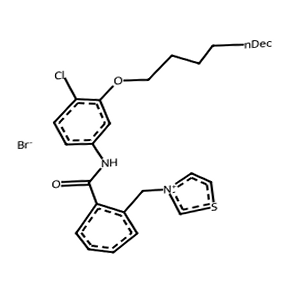 CCCCCCCCCCCCCCOc1cc(NC(=O)c2ccccc2C[n+]2ccsc2)ccc1Cl.[Br-]